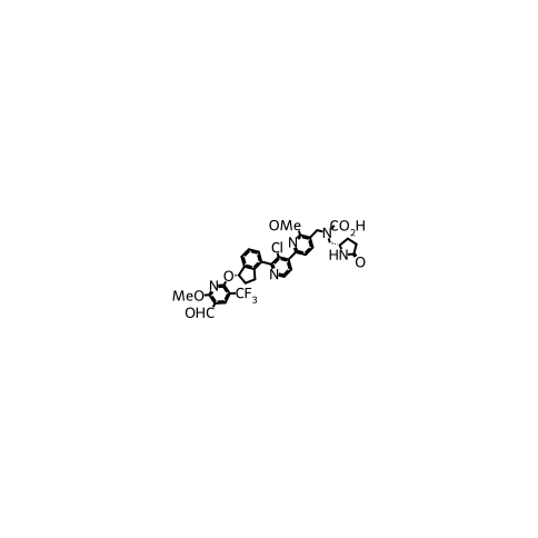 COc1nc(O[C@H]2CCc3c(-c4nccc(-c5ccc(CN(C[C@@H]6CCC(=O)N6)C(=O)O)c(OC)n5)c4Cl)cccc32)c(C(F)(F)F)cc1C=O